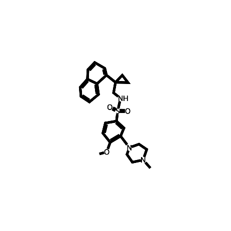 COc1ccc(S(=O)(=O)NCC2(c3cccc4ccccc34)CC2)cc1N1CCN(C)CC1